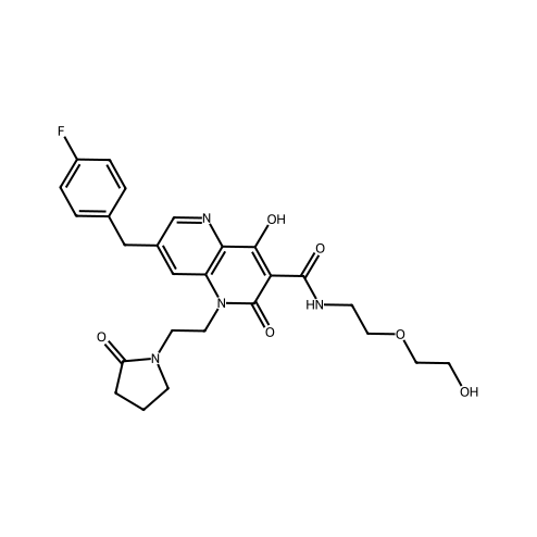 O=C(NCCOCCO)c1c(O)c2ncc(Cc3ccc(F)cc3)cc2n(CCN2CCCC2=O)c1=O